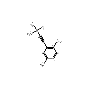 Cc1cc(C#C[Si](C)(C)C)c(C=O)cn1